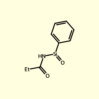 CCC(=O)N[Si](=O)c1ccccc1